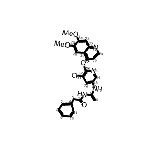 C=C(NC(=O)Cc1ccccc1)Nc1cnc(Oc2ccnc3cc(OC)c(OC)cc23)c(Cl)c1